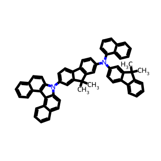 CC1(C)c2ccccc2-c2ccc(N(c3ccc4c(c3)C(C)(C)c3cc(-n5c6ccc7ccccc7c6c6c7ccccc7ccc65)ccc3-4)c3cccc4ccccc34)cc21